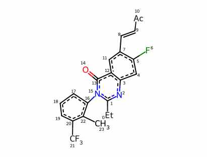 CCc1nc2cc(F)c(/C=C/C(C)=O)cc2c(=O)n1-c1cccc(C(F)(F)F)c1C